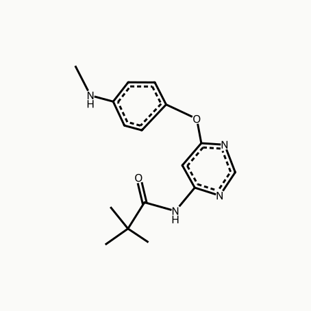 CNc1ccc(Oc2cc(NC(=O)C(C)(C)C)ncn2)cc1